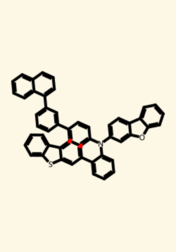 c1cc(-c2ccc(N(c3ccc4c(c3)oc3ccccc34)c3ccccc3-c3ccc4c(c3)sc3ccccc34)cc2)cc(-c2cccc3ccccc23)c1